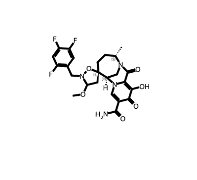 COC1C[C@]2(CC[C@H](C)N3C[C@H]2n2cc(C(N)=O)c(=O)c(O)c2C3=O)ON1Cc1cc(F)c(F)cc1F